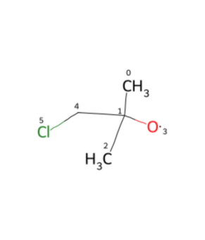 CC(C)([O])CCl